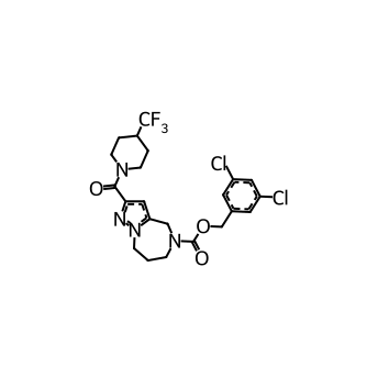 O=C(OCc1cc(Cl)cc(Cl)c1)N1CCCn2nc(C(=O)N3CCC(C(F)(F)F)CC3)cc2C1